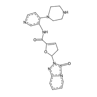 O=C(Nc1cnccc1N1CCNCC1)C1=CCC(n2nc3ccccn3c2=O)O1